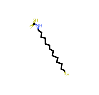 S=C(S)NCCCCCCCCCCCCCCS